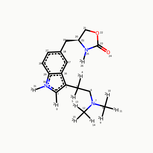 [2H]c1c(C([2H])([2H])CN(C([2H])([2H])[2H])C([2H])([2H])[2H])c2cc(C[C@H]3COC(=O)N3[2H])ccc2n1[2H]